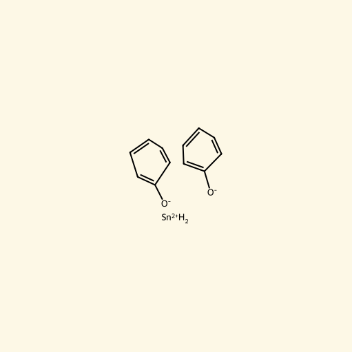 [O-]c1ccccc1.[O-]c1ccccc1.[SnH2+2]